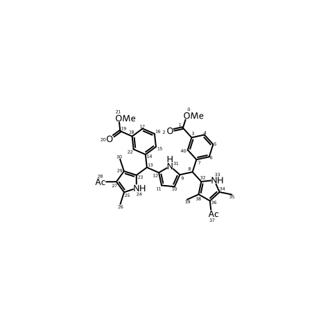 COC(=O)c1cccc(C(c2ccc(C(c3cccc(C(=O)OC)c3)c3[nH]c(C)c(C(C)=O)c3C)[nH]2)c2[nH]c(C)c(C(C)=O)c2C)c1